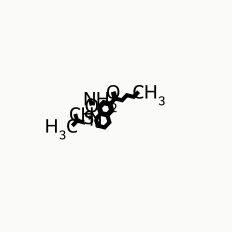 CCCCC(=O)c1cc2c(c(ON)c1)N(SCC(C)C)CCC2